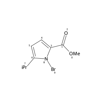 COC(=O)c1ccc(C(C)C)n1Br